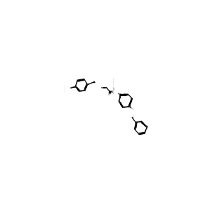 O=C(COCc1ccc(F)cc1)Nc1ccc(SCc2ccccc2)cc1